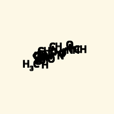 C#CC(=O)NCc1ccnc(-c2cc(C)cc(C(=O)NNS(=O)(=O)c3c(C)cccc3OC)c2)c1